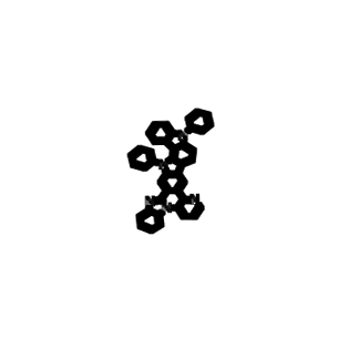 c1ccc(-n2c3ccccc3c3c2ccc2c4cc5c(cc4n(-c4ccccc4)c23)c2nc3ccccc3n2c2cccnc52)cc1